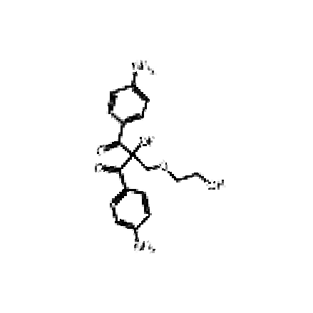 Nc1ccc(C(=O)C(O)(COCCO)C(=O)c2ccc(N)cc2)cc1